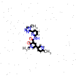 Cc1ccc(-c2cc(C(=O)Nc3cccc(-c4nncn4C)n3)c(=O)n(C)c2)cn1